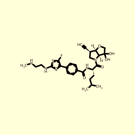 C#C[C@@H]1CN(C(=O)[C@H](CCC(C)C)NC(=O)c2ccc(-c3nc(NCCNC)sc3F)cc2)[C@H]2[C@@H]1OCC2(O)O